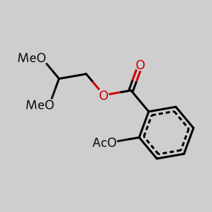 COC(COC(=O)c1ccccc1OC(C)=O)OC